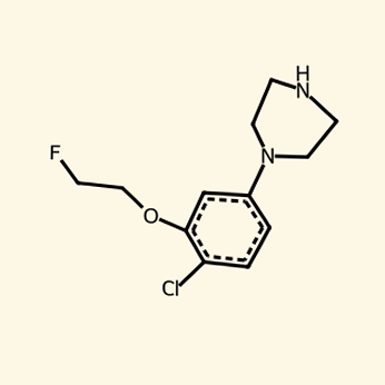 FCCOc1cc(N2CCNCC2)ccc1Cl